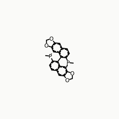 CP(C)c1ccc2cc3c(cc2c1-c1c(P(C)C)ccc2cc4c(cc12)OCO4)OCO3